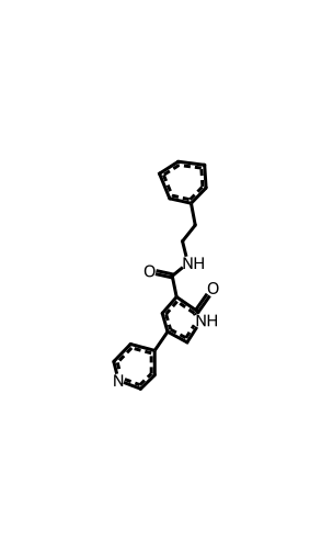 O=C(NCCc1ccccc1)c1cc(-c2ccncc2)c[nH]c1=O